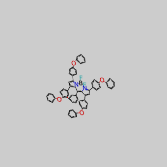 FB(F)n1c(-c2ccc(Oc3ccccc3)cc2)cc(-c2ccc(Oc3ccccc3)cc2)c1/C(=C1\N=C(c2ccc(Oc3ccccc3)cc2)C=C1c1ccc(Oc2ccccc2)cc1)c1ccccc1